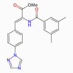 COC(=O)C(=Cc1ccc(-n2cncn2)cc1)NC(=O)c1cc(C)cc(C)c1